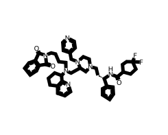 O=C(N[C@@H](CCN1CCN(Cc2ccncc2)C(CN(CCCCN2C(=O)c3ccccc3C2=O)C2CCCc3cccnc32)C1)c1ccccc1)C1CCC(F)(F)CC1